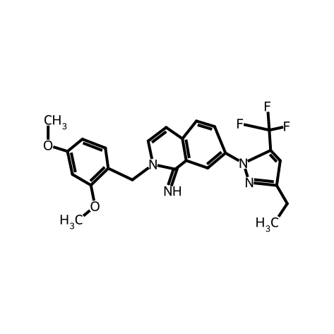 CCc1cc(C(F)(F)F)n(-c2ccc3ccn(Cc4ccc(OC)cc4OC)c(=N)c3c2)n1